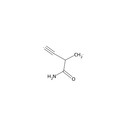 [C]#CC([CH2])C(N)=O